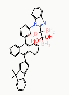 BC(O)(O)C(B)(B)c1nc2ccccc2n1-c1cccc(-c2c3ccccc3c(-c3ccc4c(c3)C(C)(C)c3ccccc3-4)c3ccccc23)c1